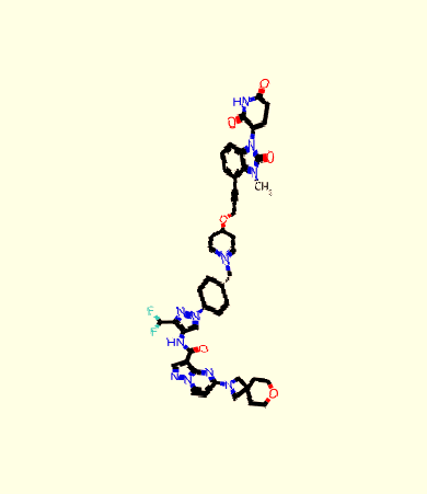 Cn1c(=O)n(C2CCC(=O)NC2=O)c2cccc(C#CCOC3CCN(C[C@H]4CC[C@H](n5cc(NC(=O)c6cnn7ccc(N8CC9(CCOCC9)C8)nc67)c(C(F)F)n5)CC4)CC3)c21